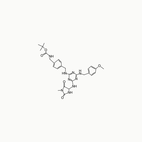 COc1ccc(CNc2nc(NCc3ccc(CNC(=O)OC(C)(C)C)cc3)nc(NC3NC(=O)N(C)C3=O)n2)cc1